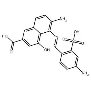 Nc1ccc(N=Nc2c(N)ccc3cc(C(=O)O)cc(O)c23)c(S(=O)(=O)O)c1